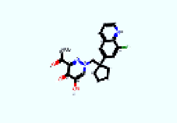 CNC(=O)c1nn(CC2(c3cc(F)c4ncccc4c3)CCCC2)cc(O)c1=O